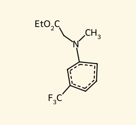 CCOC(=O)CN(C)c1cccc(C(F)(F)F)c1